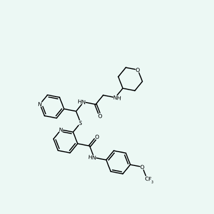 O=C(CNC1CCOCC1)NC(Sc1ncccc1C(=O)Nc1ccc(OC(F)(F)F)cc1)c1ccncc1